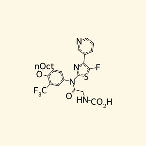 CCCCCCCCOc1ccc(N(C(=O)CNC(=O)O)c2nc(-c3cccnc3)c(F)s2)cc1C(F)(F)F